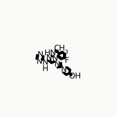 C[C@H](Nc1nc(Nc2cnccn2)cc(N2CC(N3CCC(O)CC3)C2)n1)c1ccc(F)cc1